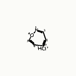 C1=CC=NOC=C1.Cl